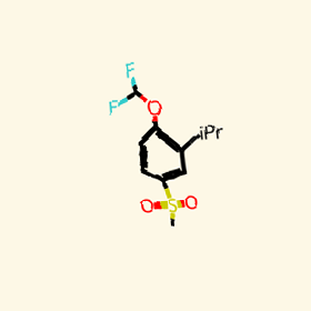 CC(C)c1cc(S(C)(=O)=O)ccc1OC(F)F